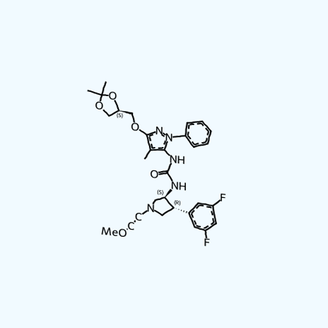 COCCN1C[C@@H](NC(=O)Nc2c(C)c(OC[C@H]3COC(C)(C)O3)nn2-c2ccccc2)[C@H](c2cc(F)cc(F)c2)C1